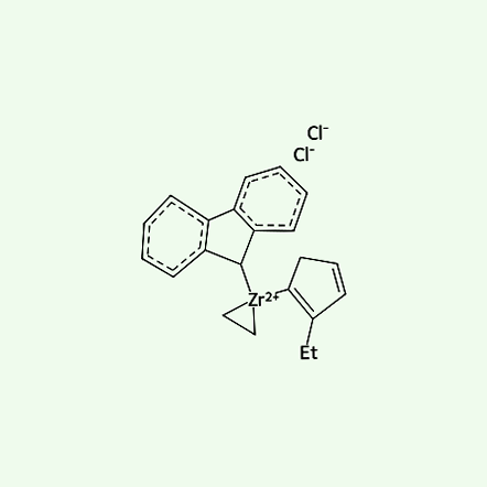 CCC1=[C]([Zr+2]2([CH]3c4ccccc4-c4ccccc43)[CH2][CH2]2)CC=C1.[Cl-].[Cl-]